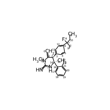 C=C1[C@@H](c2ccc(C(F)(F)CC)cc2)[C@@](C)(c2ccccc2F)NC(=N)N1C